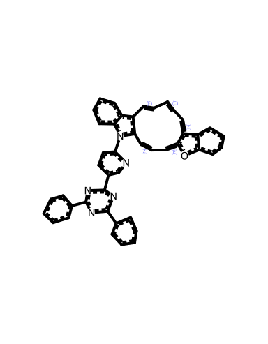 C1=C\c2c(c3ccccc3n2-c2ccc(-c3nc(-c4ccccc4)nc(-c4ccccc4)n3)cn2)/C=C/C=C/C=c2\c(oc3ccccc23)=C/1